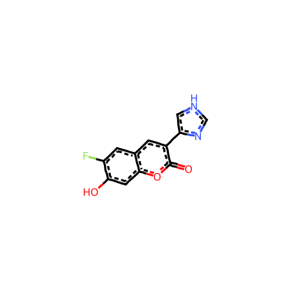 O=c1oc2cc(O)c(F)cc2cc1-c1c[nH]cn1